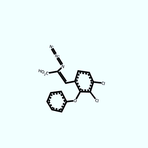 [N-]=[N+]=NC(=Cc1ccc(Cl)c(Cl)c1Oc1ccccc1)C(=O)O